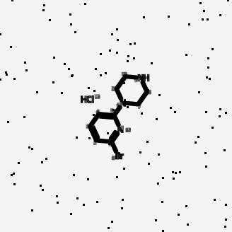 Brc1cccc(N2CCNCC2)n1.Cl